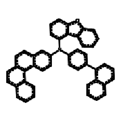 c1ccc2c(-c3ccc(N(c4ccc5c(ccc6ccc7ccccc7c65)c4)c4cccc5oc6ccccc6c45)cc3)cccc2c1